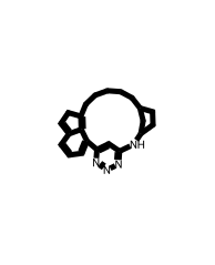 C1=c2cccc3c2=C(C1)CCCCCC1CCC(C1)Nc1cc-3nnn1